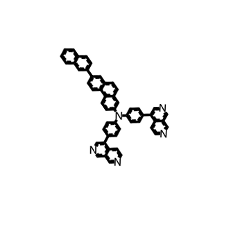 c1ccc2cc(-c3ccc4c(ccc5cc(N(c6ccc(-c7cncc8cnccc78)cc6)c6ccc(-c7cncc8cnccc78)cc6)ccc54)c3)ccc2c1